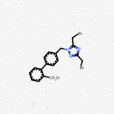 CC(C)Cc1nc(CC(C)C)n(Cc2ccc(-c3ccccc3C(=O)O)cc2)n1